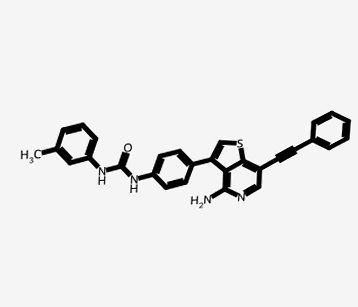 Cc1cccc(NC(=O)Nc2ccc(-c3csc4c(C#Cc5ccccc5)cnc(N)c34)cc2)c1